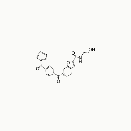 O=C(c1ccccc1)c1ccc(C(=O)N2CCc3cc(C(=O)NCCO)oc3C2)cc1